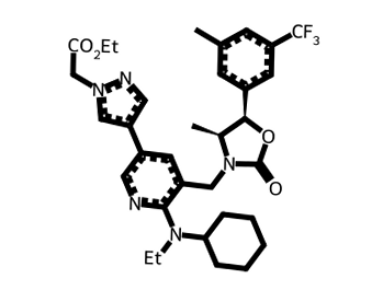 CCOC(=O)Cn1cc(-c2cnc(N(CC)C3CCCCC3)c(CN3C(=O)O[C@H](c4cc(C)cc(C(F)(F)F)c4)[C@@H]3C)c2)cn1